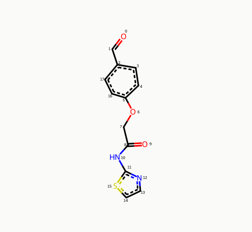 O=Cc1ccc(OCC(=O)Nc2nccs2)cc1